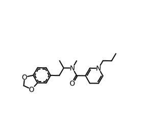 CCCN1C=CCC(C(=O)N(C)C(C)Cc2ccc3c(c2)OCO3)=C1